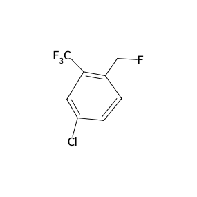 FCc1ccc(Cl)cc1C(F)(F)F